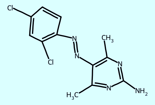 Cc1nc(N)nc(C)c1N=Nc1ccc(Cl)cc1Cl